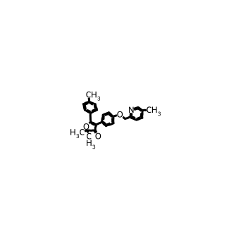 Cc1ccc(C2=C(c3ccc(OCc4ccc(C)cn4)cc3)C(=O)C(C)(C)O2)cc1